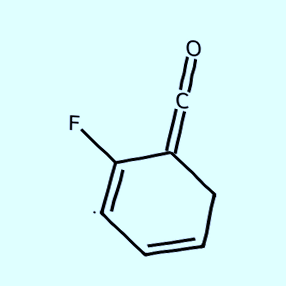 O=C=C1CC=C[C]=C1F